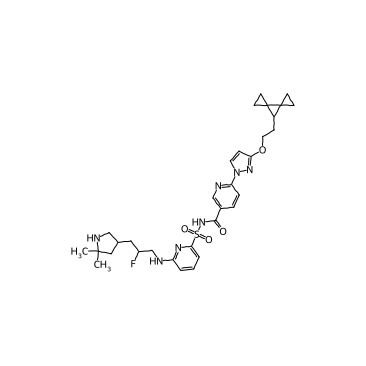 CC1(C)CC(CC(F)CNc2cccc(S(=O)(=O)NC(=O)c3ccc(-n4ccc(OCCC5C6(CC6)C56CC6)n4)nc3)n2)CN1